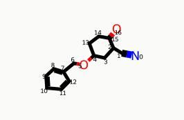 N#CC1CC(OCc2ccccc2)CCC1=O